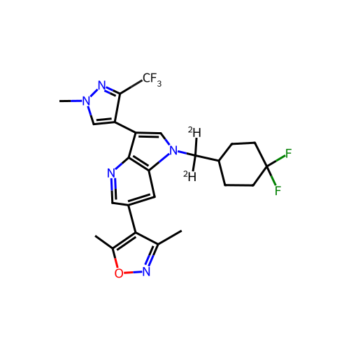 [2H]C([2H])(C1CCC(F)(F)CC1)n1cc(-c2cn(C)nc2C(F)(F)F)c2ncc(-c3c(C)noc3C)cc21